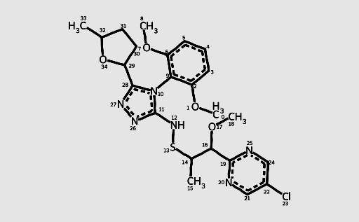 COc1cccc(OC)c1-n1c(NSC(C)C(OC)c2ncc(Cl)cn2)nnc1C1CCC(C)O1